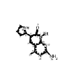 CCn1c(=O)c(-c2ccc[nH]2)cc2c(C)nc(N)nc21